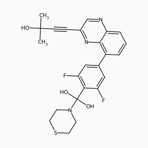 CC(C)(O)C#Cc1cnc2cccc(-c3cc(F)c(C(O)(O)N4CCSCC4)c(F)c3)c2n1